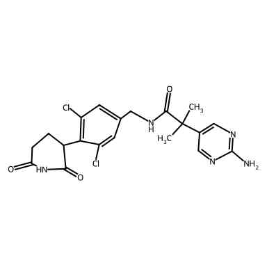 CC(C)(C(=O)NCc1cc(Cl)c(C2CCC(=O)NC2=O)c(Cl)c1)c1cnc(N)nc1